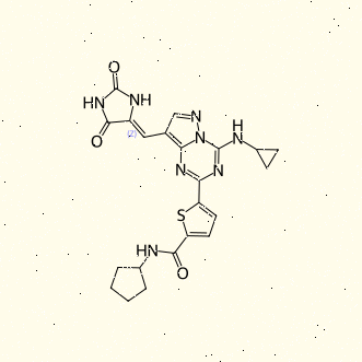 O=C1NC(=O)/C(=C/c2cnn3c(NC4CC4)nc(-c4ccc(C(=O)NC5CCCC5)s4)nc23)N1